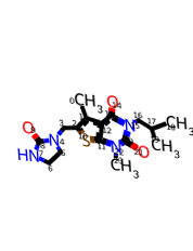 Cc1c(CN2CCNC2=O)sc2c1c(=O)n(CC(C)C)c(=O)n2C